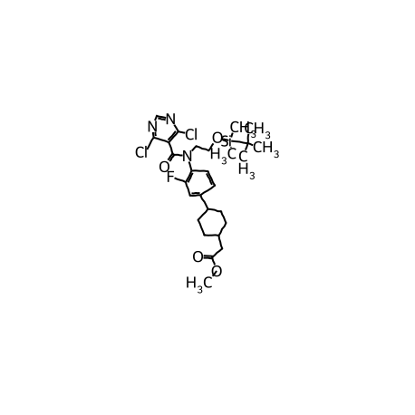 COC(=O)CC1CCC(c2ccc(N(CCO[Si](C)(C)C(C)(C)C)C(=O)c3c(Cl)ncnc3Cl)c(F)c2)CC1